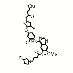 COc1cc2ncnc(Nc3ccc(Oc4nn(CC(=O)CCC(C)(C)C)cc4F)cc3Cl)c2cc1NC(=O)/C=C/CN1CCC(F)C1